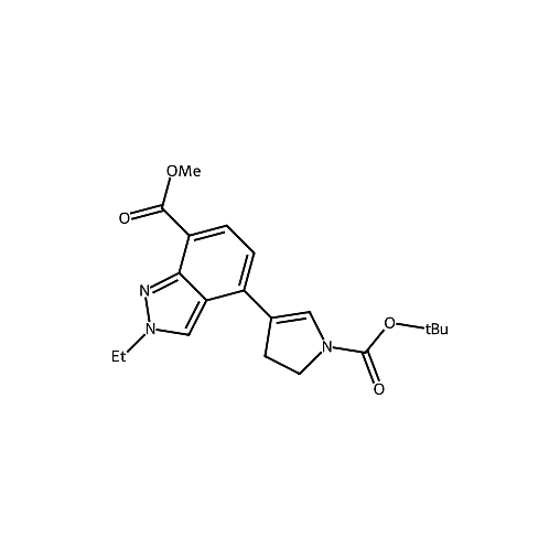 CCn1cc2c(C3=CN(C(=O)OC(C)(C)C)CC3)ccc(C(=O)OC)c2n1